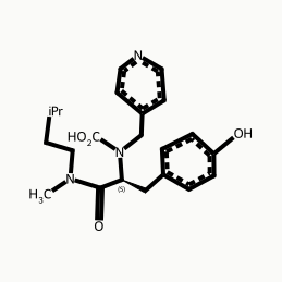 CC(C)CCN(C)C(=O)[C@H](Cc1ccc(O)cc1)N(Cc1ccncc1)C(=O)O